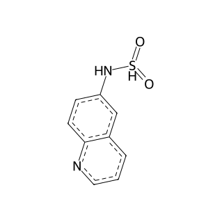 O=[SH](=O)Nc1ccc2ncccc2c1